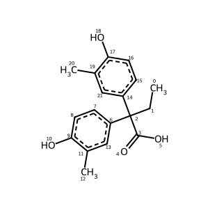 CCC(C(=O)O)(c1ccc(O)c(C)c1)c1ccc(O)c(C)c1